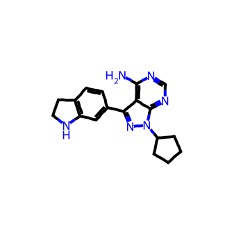 Nc1ncnc2c1c(-c1ccc3c(c1)NCC3)nn2C1CCCC1